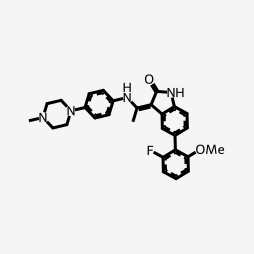 COc1cccc(F)c1-c1ccc2c(c1)/C(=C(\C)Nc1ccc(N3CCN(C)CC3)cc1)C(=O)N2